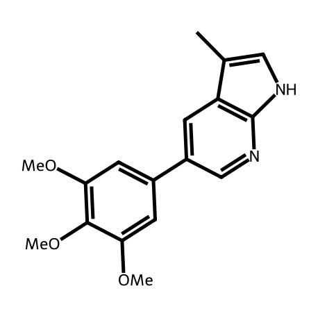 COc1cc(-c2cnc3[nH]cc(C)c3c2)cc(OC)c1OC